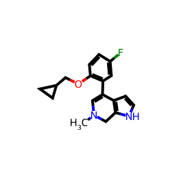 CN1C=C(c2cc(F)ccc2OCC2CC2)c2cc[nH]c2C1